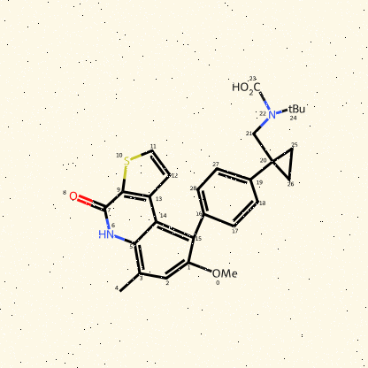 COc1cc(C)c2[nH]c(=O)c3sccc3c2c1-c1ccc(C2(CN(C(=O)O)C(C)(C)C)CC2)cc1